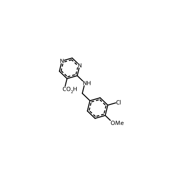 COc1ccc(CNc2ncncc2C(=O)O)cc1Cl